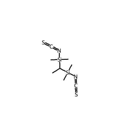 CC([Si](C)(C)N=C=S)[Si](C)(C)N=C=S